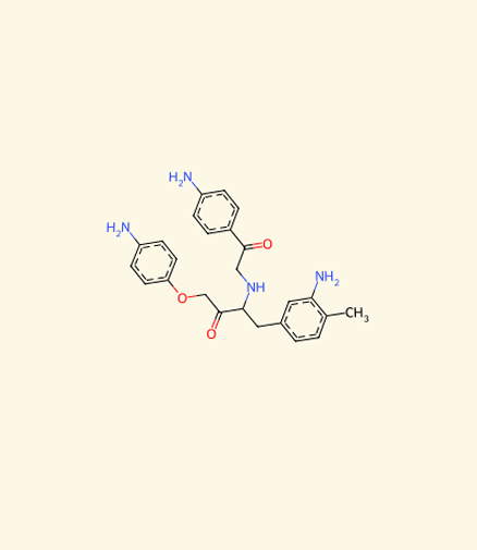 Cc1ccc(CC(NCC(=O)c2ccc(N)cc2)C(=O)COc2ccc(N)cc2)cc1N